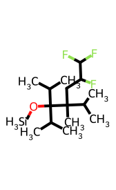 CC(C)C(C)(CC(F)C(F)F)C(O[SiH3])(C(C)C)C(C)C